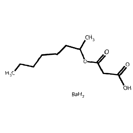 CCCCCCC(C)OC(=O)CC(=O)O.[BaH2]